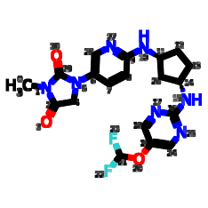 CN1C(=O)CN(c2ccc(N[C@H]3CC[C@H](Nc4ncc(OC(F)F)cn4)C3)nc2)C1=O